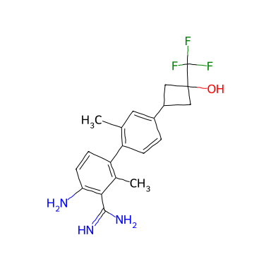 Cc1cc(C2CC(O)(C(F)(F)F)C2)ccc1-c1ccc(N)c(C(=N)N)c1C